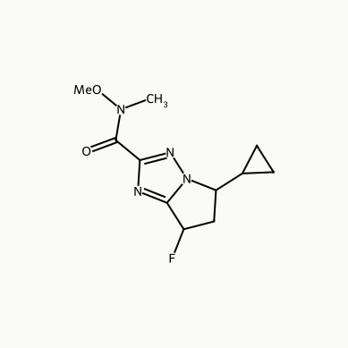 CON(C)C(=O)c1nc2n(n1)C(C1CC1)CC2F